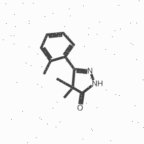 Cc1ccccc1C1=NNC(=O)C1(C)C